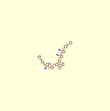 CC(C)(c1ccccc1)c1ccc(Oc2cccc(Oc3cccc(Oc4ccc(C5(c6ccc(Oc7cccc(Oc8cccc(Oc9ccc(C(C)(C)c%10ccccc%10)cc9)c8C#N)c7C#N)cc6)c6ccccc6-c6ccccc65)cc4)c3C#N)c2C#N)cc1